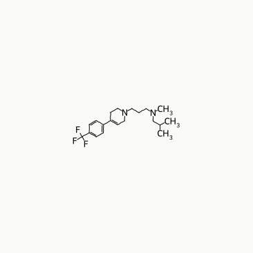 CC(C)CN(C)CCCN1CC=C(c2ccc(C(F)(F)F)cc2)CC1